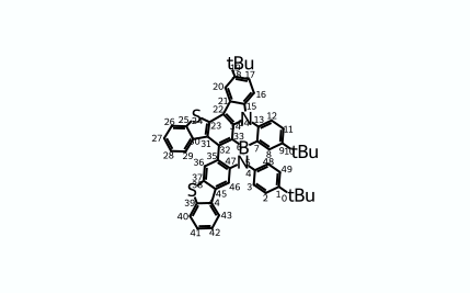 CC(C)(C)c1ccc(N2B3c4cc(C(C)(C)C)ccc4-n4c5ccc(C(C)(C)C)cc5c5c6sc7ccccc7c6c(c3c54)-c3cc4sc5ccccc5c4cc32)cc1